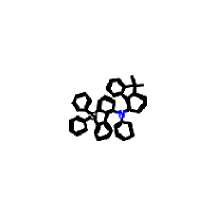 CC1(C)c2ccccc2-c2c(N(c3ccccc3)c3cccc4c3-c3ccccc3[Si]4(c3ccccc3)c3ccccc3)cccc21